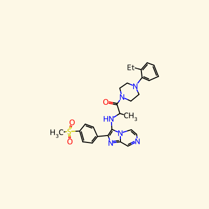 CCc1ccccc1N1CCN(C(=O)C(C)Nc2c(-c3ccc(S(C)(=O)=O)cc3)nc3cnccn23)CC1